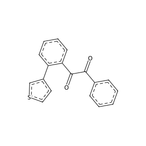 O=C(C(=O)c1ccccc1-c1ccsc1)c1ccccc1